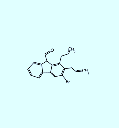 C=CCc1c(Br)cc2c(c1CC=C)C(C=O)c1ccccc1-2